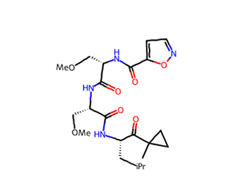 COC[C@H](NC(=O)c1ccno1)C(=O)N[C@@H](COC)C(=O)N[C@@H](CC(C)C)C(=O)C1(C)CC1